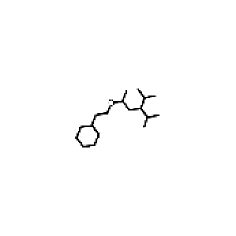 CC(CC(C(C)C)C(C)C)OCCC1CCCCC1